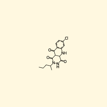 CCCC(C)N1NC(=O)C2Nc3cc(Cl)ccc3C(=O)C2C1=O